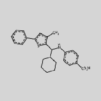 Cc1cc(-c2ccccc2)sc1C(Nc1ccc(C(=O)O)cc1)C1CCCCC1